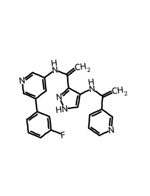 C=C(Nc1c[nH]nc1C(=C)Nc1cncc(-c2cccc(F)c2)c1)c1cccnc1